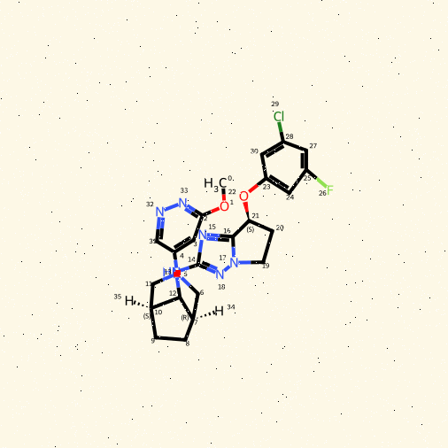 COc1cc(N2C[C@H]3CC[C@@H](C2)C3Nc2nc3n(n2)CC[C@@H]3Oc2cc(F)cc(Cl)c2)cnn1